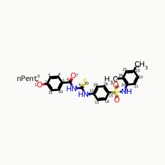 CCCCCOc1ccc(C(=O)NC(=S)Nc2ccc(S(=O)(=O)Nc3ccc(C)cc3C)cc2)cc1